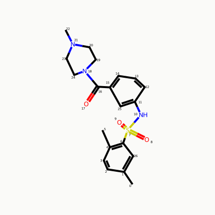 Cc1ccc(C)c(S(=O)(=O)Nc2cccc(C(=O)N3CCN(C)CC3)c2)c1